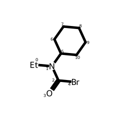 CCN(C(=O)Br)C1CCCCC1